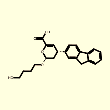 O=C(O)C1=C[C@H](c2ccc3c(c2)Cc2ccccc2-3)C[C@H](OCCCCO)O1